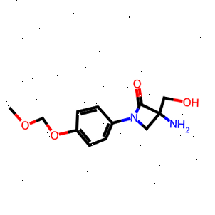 COCOc1ccc(N2CC(N)(CO)C2=O)cc1